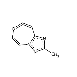 Cc1nc2n(n1)C=CN=C=C2